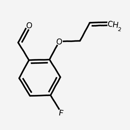 C=CCOc1cc(F)ccc1C=O